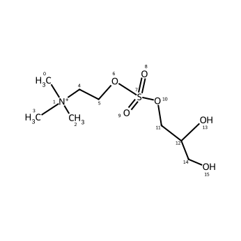 C[N+](C)(C)CCOS(=O)(=O)OCC(O)CO